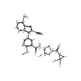 COc1ncc(-c2c(C#N)cc3c(N)ncnn23)cc1C(=O)N[C@@H]1CN(C(=O)C2CC2(F)F)C[C@@H]1F